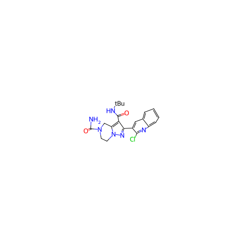 CC(C)(C)NC(=O)c1c(-c2cc3ccccc3nc2Cl)nn2c1CN(C(N)=O)CC2